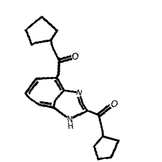 O=C(c1nc2c(C(=O)C3CCCC3)cccc2[nH]1)C1CCCC1